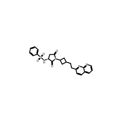 O=C1C[C@H](NS(=O)(=O)c2ccccc2)C(=O)N1C1CC(CCc2ccc3cccnc3n2)C1